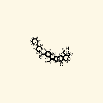 CCc1c2c(nc3ccc(C(=O)N4CCC(N5CCCCC5)CC4)cc13)-c1cc3c(c(=O)n1C2)COC(=O)C3(O)CC